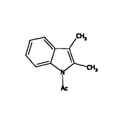 CC(=O)n1c(C)c(C)c2ccccc21